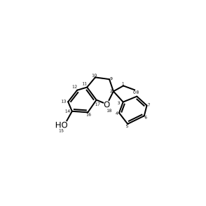 CCC1(c2ccccc2)CCc2ccc(O)cc2O1